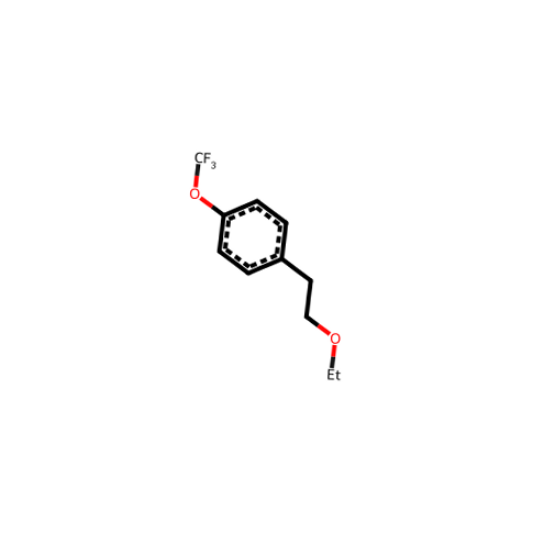 CCOCCc1ccc(OC(F)(F)F)cc1